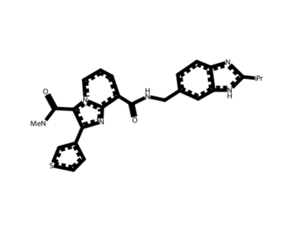 CNC(=O)c1c(-c2ccsc2)nc2c(C(=O)NCc3ccc4nc(C(C)C)[nH]c4c3)cccn12